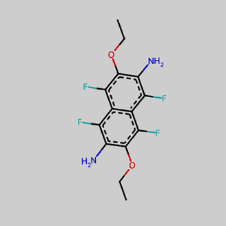 CCOc1c(N)c(F)c2c(F)c(OCC)c(N)c(F)c2c1F